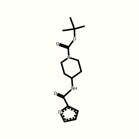 CC(C)(C)OC(=O)N1CCC(NC(=O)c2ccco2)CC1